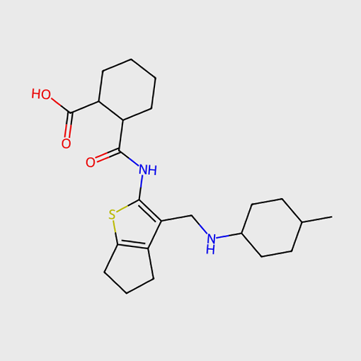 CC1CCC(NCc2c(NC(=O)C3CCCCC3C(=O)O)sc3c2CCC3)CC1